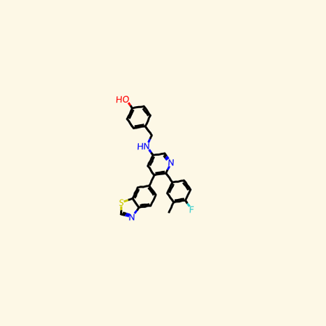 Cc1cc(-c2ncc(NCc3ccc(O)cc3)cc2-c2ccc3ncsc3c2)ccc1F